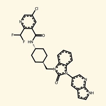 O=C(N[C@H]1CC[C@H](Cn2c(=O)n(-c3cnc4[nH]ccc4c3)c3ccccc32)CC1)c1cc(Cl)cnc1C(F)F